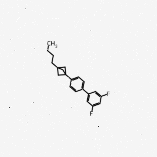 CCCCC12CC(c3ccc(-c4cc(F)cc(F)c4)cc3)(C1)C2